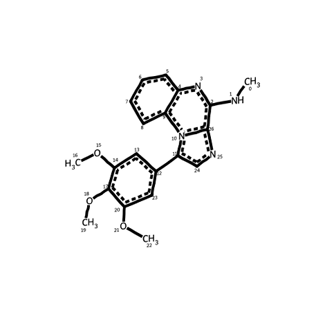 CNc1nc2ccccc2n2c(-c3cc(OC)c(OC)c(OC)c3)cnc12